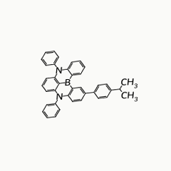 CC(C)c1ccc(-c2ccc3c(c2)B2c4ccccc4N(c4ccccc4)c4cccc(c42)N3c2ccccc2)cc1